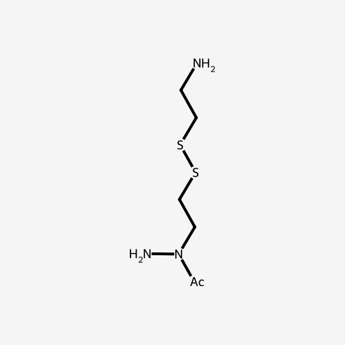 CC(=O)N(N)CCSSCCN